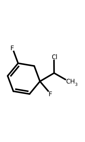 CC(Cl)C1(F)C=CC=C(F)C1